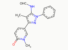 Cc1c(-c2ccc(=O)n(C)c2)nn(-c2ccccc2)c1NC=O